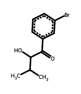 C[C](C)C(O)C(=O)c1cccc(Br)c1